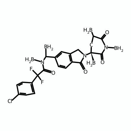 BC1C[C@@](B)(N2Cc3cc(C(B)N(B)C(=O)C(F)(F)c4ccc(Cl)cc4)ccc3C2=O)C(=O)N(B)C1=O